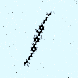 C=CC(=O)OCCCCOc1ccc(/C=C(\C#N)C(=O)Nc2ccc(OC(=O)c3ccc(OCCCCOC(=O)C=C)cc3)cc2C)cc1